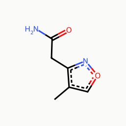 Cc1conc1CC(N)=O